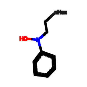 CCCCCCCCN(O)c1ccccc1